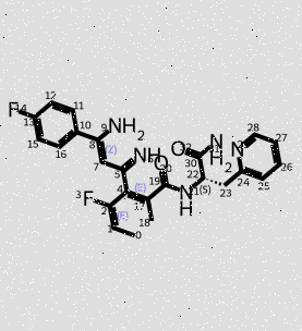 C/C=C(F)\C(C(=N)/C=C(\N)c1ccc(F)cc1)=C(/C)C(=O)N[C@@H](Cc1ccccn1)C(N)=O